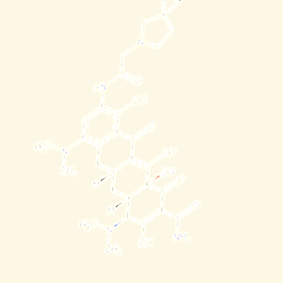 CN(C)c1cc(NC(=O)CN2CCC3(CC3)C2)c(O)c2c1C[C@H]1C[C@H]3[C@H](N(C)C)C(O)=C(C(N)=O)C(=O)[C@@]3(O)C(O)=C1C2=O